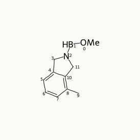 COBN1Cc2cccc(C)c2C1